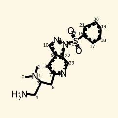 CN(C)C(CN)Cc1cc2cnn(S(=O)(=O)c3ccccc3)c2cn1